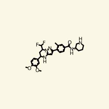 COc1ccc(C2CC(C(F)F)n3nc(-c4ccc(C(=O)N[C@@H]5CCCNC5)cc4C)cc3N2)cc1OC